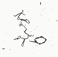 COC(=O)[C@@H](Cc1ccccc1)NCCNC(=O)OC(C)(C)C